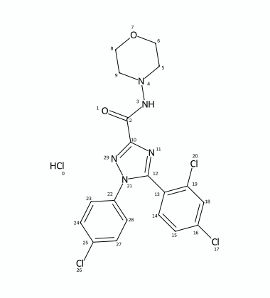 Cl.O=C(NN1CCOCC1)c1nc(-c2ccc(Cl)cc2Cl)n(-c2ccc(Cl)cc2)n1